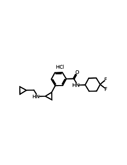 Cl.O=C(NC1CCC(F)(F)CC1)c1cccc(C2CC2NCC2CC2)c1